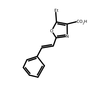 CCc1oc(/C=C/c2ccccc2)nc1C(=O)O